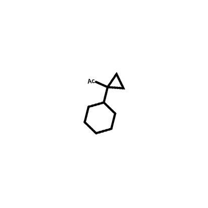 CC(=O)C1(C2CCCCC2)CC1